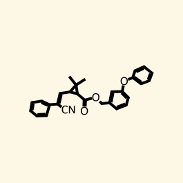 CC1(C)C(C=C(C#N)c2ccccc2)C1C(=O)OCc1cccc(Oc2ccccc2)c1